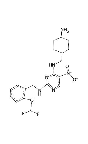 N[C@H]1CC[C@H](CNc2nc(NCc3ccccc3OC(F)F)ncc2[N+](=O)[O-])CC1